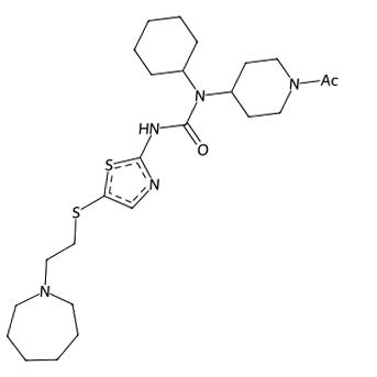 CC(=O)N1CCC(N(C(=O)Nc2ncc(SCCN3CCCCCC3)s2)C2CCCCC2)CC1